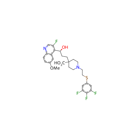 COc1ccc2ncc(F)c([C@@H](O)CCC3(C(=O)O)CCN(CCSc4cc(F)c(F)c(F)c4)CC3)c2c1